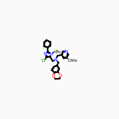 CCCCn1c(-c2ccccc2)nc(Cl)c1CN(Cc1cncc(OC)c1)Cc1ccc2c(c1)OCCO2